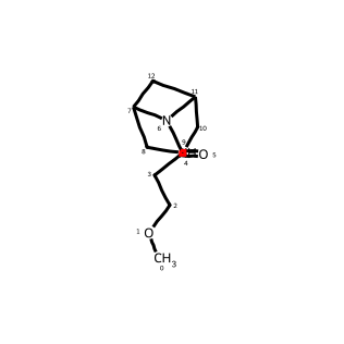 COCCC(=O)N1C2CNCC1C2